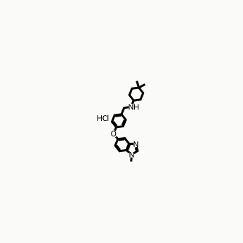 Cl.Cn1cnc2cc(Oc3ccc(CNC4CCC(C)(C)CC4)cc3)ccc21